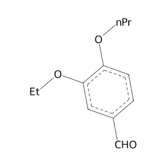 CCCOc1ccc(C=O)cc1OCC